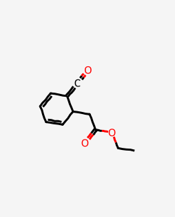 CCOC(=O)CC1C=CC=CC1=C=O